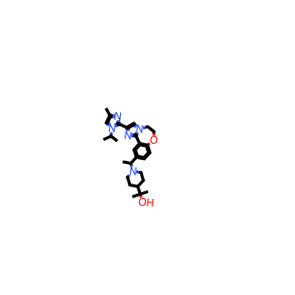 Cc1cn(C(C)C)c(-c2cn3c(n2)-c2cc(C(C)N4CCC(C(C)(C)O)CC4)ccc2OCC3)n1